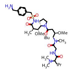 CC[C@H](C)[C@@H]([C@@H](CC(=O)N1CCC[C@H]1[C@H](OC)[C@@H](C)C(=O)NS(=O)(=O)Cc1ccc(CN)cc1)OC)N(C)C(=O)CNC(=O)C(C(C)C)N(C)C